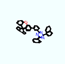 CN1C(c2ccccc2)=NC(c2cccc(-c3ccc4c(c3)Oc3ccccc3C43c4ccccc4-c4ccccc43)c2)=NC1c1cccc2c1C=CCC2